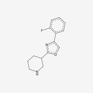 Fc1ccccc1-c1coc(C2CCCNC2)n1